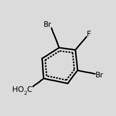 O=C(O)c1cc(Br)c(F)c(Br)c1